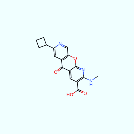 CNc1nc2oc3cnc(C4CCC4)cc3c(=O)c2cc1C(=O)O